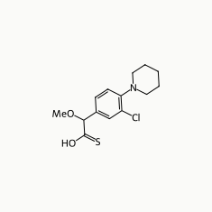 COC(C(O)=S)c1ccc(N2CCCCC2)c(Cl)c1